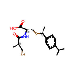 CC(C)c1ccc([C@H](C)SC[C@H](NC(=O)[C@H](C)CS)C(=O)O)cc1